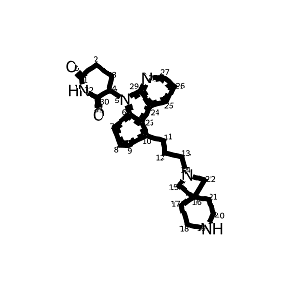 O=C1CCC(n2c3cccc(CCCN4CC5(CCNCC5)C4)c3c3cccnc32)C(=O)N1